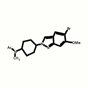 COc1cc2nn(C3CCC(N(C)C(C)=O)CC3)cc2cc1Br